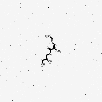 CCOC=C(C)C(=O)OCC(O)CO